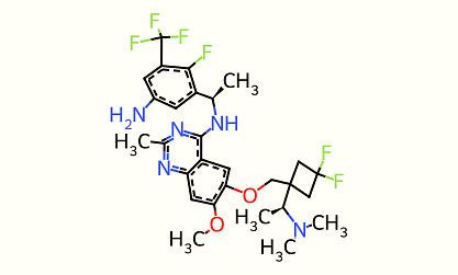 COc1cc2nc(C)nc(N[C@H](C)c3cc(N)cc(C(F)(F)F)c3F)c2cc1OCC1([C@H](C)N(C)C)CC(F)(F)C1